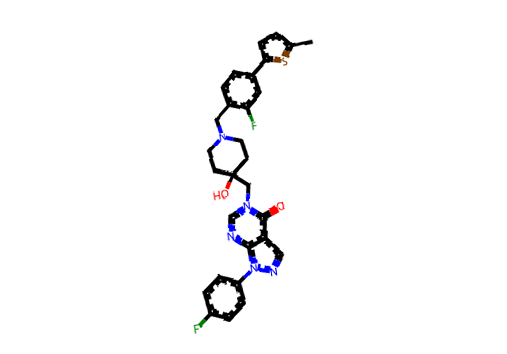 Cc1ccc(-c2ccc(CN3CCC(O)(Cn4cnc5c(cnn5-c5ccc(F)cc5)c4=O)CC3)c(F)c2)s1